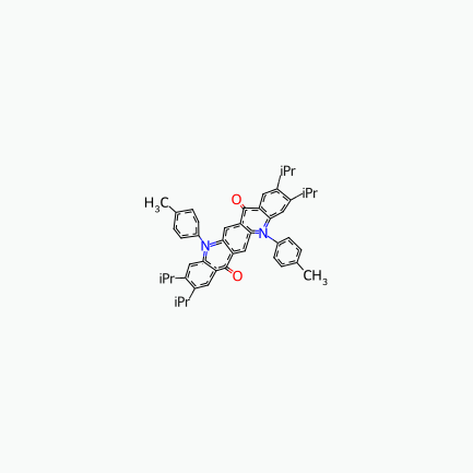 Cc1ccc(-n2c3cc(C(C)C)c(C(C)C)cc3c(=O)c3cc4c(cc32)c(=O)c2cc(C(C)C)c(C(C)C)cc2n4-c2ccc(C)cc2)cc1